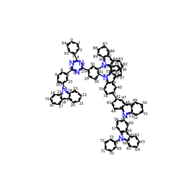 c1ccc(-c2nc(-c3cccc(-n4c5ccccc5c5ccccc54)c3)nc(-c3ccc(-n4c5ccccc5c5cc(-c6ccc7c(c6)c6ccccc6n7-c6ccc7c(c6)c6ccccc6n7-c6ccccc6)ccc54)c(-n4c5ccccc5c5ccccc54)c3)n2)cc1